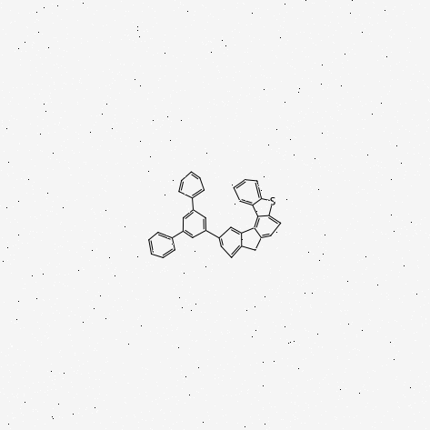 c1ccc(-c2cc(-c3ccccc3)cc(-c3ccc4c(c3)-c3c(ccc5sc6ccccc6c35)C4)c2)cc1